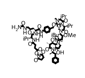 CC[C@H](C)[C@@H]([C@@H](CC(=O)N1CCC[C@H]1[C@H](OC)[C@@H](C)C(=O)N[C@H](C)[C@@H](O)c1ccccc1)OC)N(C)C(=O)[C@@H](NC(=O)[C@H](C(C)C)N(C)C(=O)OCc1ccc(NC(=O)[C@H](CCCNC(N)=O)NC(=O)[C@@H](NC(=O)CCC(=O)ON2C(=O)CCC2=O)C(C)C)cc1)C(C)C